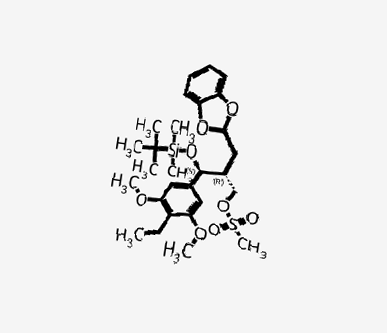 CCc1c(OC)cc([C@@H](O[Si](C)(C)C(C)(C)C)[C@@H](COS(C)(=O)=O)CC2Oc3ccccc3O2)cc1OC